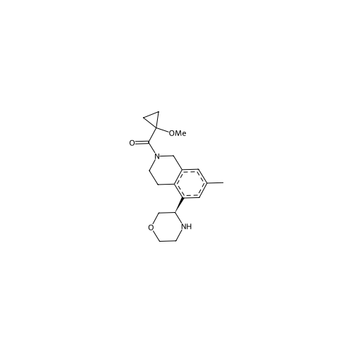 COC1(C(=O)N2CCc3c(cc(C)cc3[C@@H]3COCCN3)C2)CC1